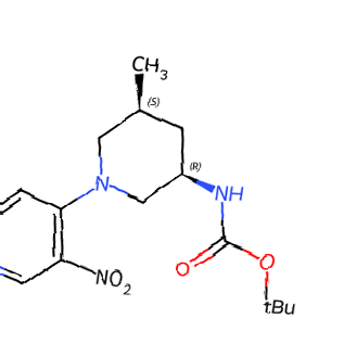 C[C@H]1C[C@@H](NC(=O)OC(C)(C)C)CN(c2ccncc2[N+](=O)[O-])C1